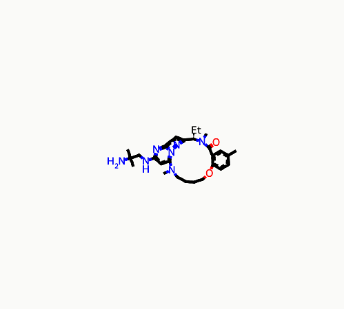 CC[C@H]1c2cc3nc(NCC(C)(C)N)cc(n3n2)N(C)CCCCOc2ccc(C)cc2C(=O)N1C